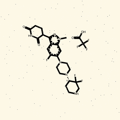 Cn1nc(C2CCC(=O)NC2=O)c2cc(F)c(N3CCN([C@H]4CCNCC4(F)F)CC3)cc21.O=C(O)C(F)(F)F